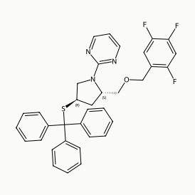 Fc1cc(F)c(COC[C@@H]2C[C@@H](SC(c3ccccc3)(c3ccccc3)c3ccccc3)CN2c2ncccn2)cc1F